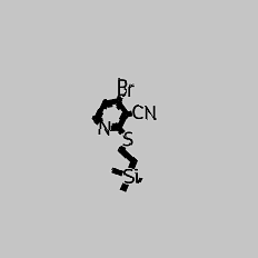 C[Si](C)(C)CCSc1nccc(Br)c1C#N